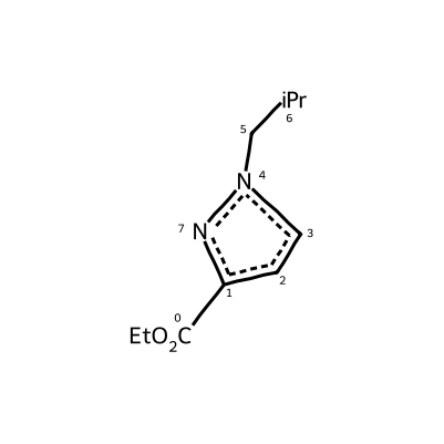 CCOC(=O)c1ccn(CC(C)C)n1